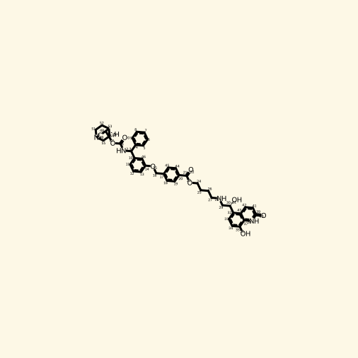 O=C(NC(c1ccccc1)c1cccc(OCc2ccc(C(=O)OCCCCNC[C@H](O)c3ccc(O)c4[nH]c(=O)ccc34)cc2)c1)O[C@H]1CN2CCC1CC2